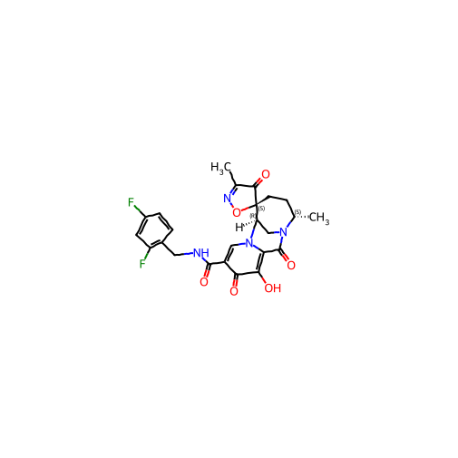 CC1=NO[C@]2(CC[C@H](C)N3C[C@H]2n2cc(C(=O)NCc4ccc(F)cc4F)c(=O)c(O)c2C3=O)C1=O